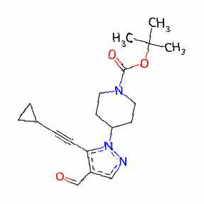 CC(C)(C)OC(=O)N1CCC(n2ncc(C=O)c2C#CC2CC2)CC1